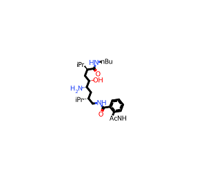 CCCCNC(=O)[C@@H](C[C@H](O)[C@@H](N)C[C@H](CNC(=O)c1ccccc1NC(C)=O)C(C)C)C(C)C